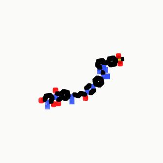 CS(=O)(=O)c1ccc(-c2cccc3nc(Nc4ccc(N5CCN(C(=O)CCCNc6ccc7c(c6)C(=O)N(C6CCC(=O)NC6=O)C7=O)CC5)cc4)nn23)cc1